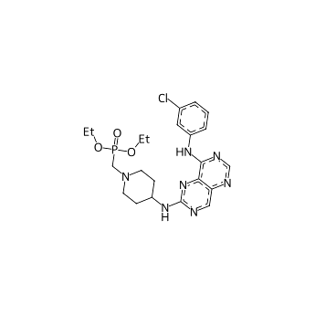 CCOP(=O)(CN1CCC(Nc2ncc3ncnc(Nc4cccc(Cl)c4)c3n2)CC1)OCC